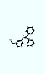 ClC[C@H]1C=C(N=C(c2ccccc2)c2ccccc2)C=CC1